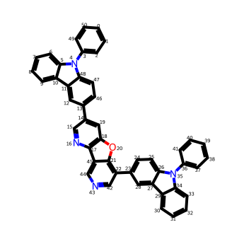 c1ccc(-n2c3ccccc3c3cc(-c4cnc5c(c4)oc4c(-c6ccc7c(c6)c6ccccc6n7-c6ccccc6)cncc45)ccc32)cc1